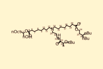 CCCCCCCCC(CCCCCCCC)OC(=O)CCCCCCCN(CCCCCCCC(=O)OCCC(CCCC)CCCC)CCCNC(=O)C(C)OC(C)(C)C